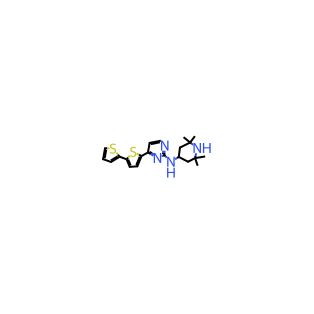 CC1(C)CC(Nc2nccc(-c3ccc(-c4cccs4)s3)n2)CC(C)(C)N1